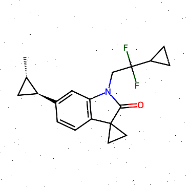 C[C@H]1C[C@@H]1c1ccc2c(c1)N(CC(F)(F)C1CC1)C(=O)C21CC1